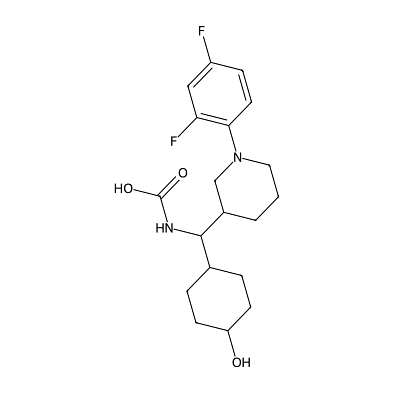 O=C(O)NC(C1CCC(O)CC1)C1CCCN(c2ccc(F)cc2F)C1